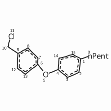 CCCCCc1ccc(Oc2ccc(CCl)cc2)cc1